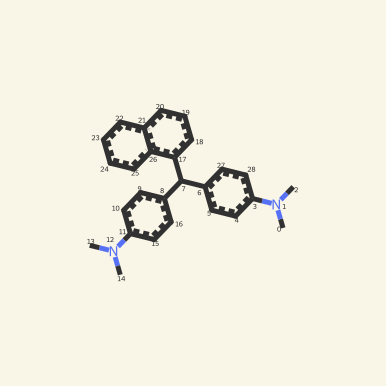 CN(C)c1ccc(C(c2ccc(N(C)C)cc2)c2cccc3ccccc23)cc1